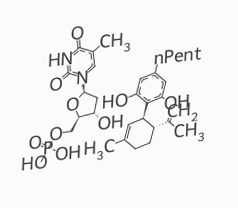 C=C(C)[C@@H]1CCC(C)=C[C@H]1c1c(O)cc(CCCCC)cc1O.Cc1cn([C@H]2C[C@H](O)[C@@H](COP(=O)(O)O)O2)c(=O)[nH]c1=O